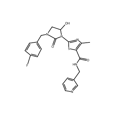 Cc1nc(N2C(=O)N(Cc3ccc(F)cc3)CC2O)sc1C(=O)NCc1cccnc1